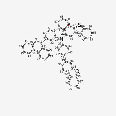 c1ccc(-c2ccc(-c3cc4ccccc4c4ccccc34)cc2N(c2ccc(-c3ccc4c(c3)oc3ccccc34)cc2)c2ccc3sc4ccccc4c3c2)cc1